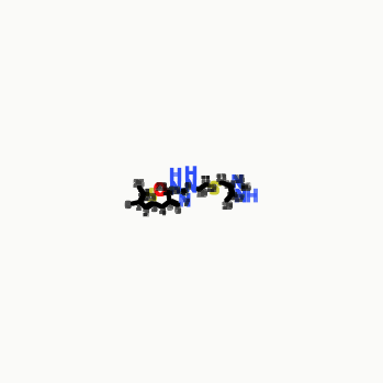 Cc1cc(Cc2cnc(NCCSCc3nc[nH]c3C)[nH]c2=O)sc1C